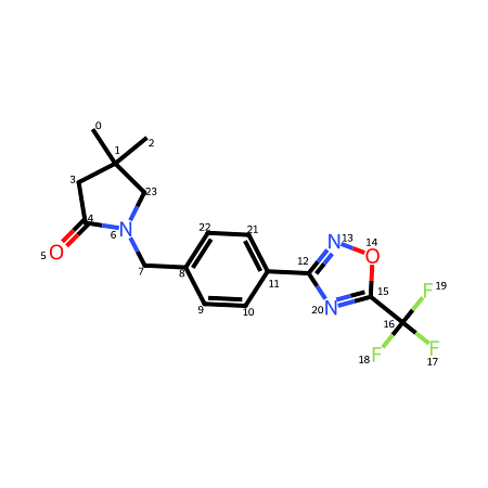 CC1(C)CC(=O)N(Cc2ccc(-c3noc(C(F)(F)F)n3)cc2)C1